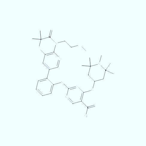 COCCN1C(=O)C(C)(C)Oc2cc(-c3ccccc3Nc3ncc(C(N)=O)c(NC4CC(C)(C)N(C)C(C)(C)C4)n3)cnc21